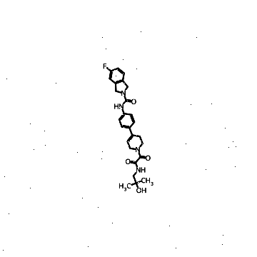 CC(C)(O)CNC(=O)C(=O)N1CC=C(c2ccc(NC(=O)N3Cc4ccc(F)cc4C3)cc2)CC1